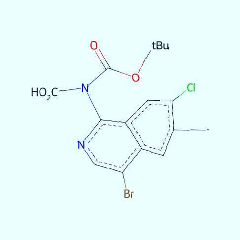 Cc1cc2c(Br)cnc(N(C(=O)O)C(=O)OC(C)(C)C)c2cc1Cl